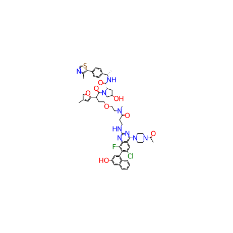 CC(=O)N1CCN(c2nc(NCCC(=O)N(C)CCOCCC(C(=O)N3C[C@H](O)C[C@H]3C(=O)N[C@@H](C)c3ccc(-c4scnc4C)cc3)c3cc(C)co3)nc3c(F)c(-c4cc(O)cc5ccccc45)c(Cl)cc23)CC1